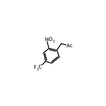 CC(=O)Cc1ccc(C(F)(F)F)cc1[N+](=O)[O-]